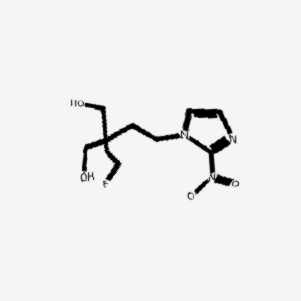 O=[N+]([O-])c1nccn1CCC(CO)(CO)CF